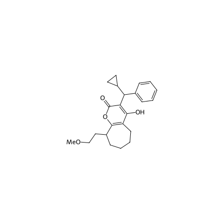 COCCC1CCCCc2c1oc(=O)c(C(c1ccccc1)C1CC1)c2O